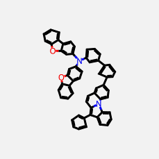 c1ccc(-c2c3ccccc3n3c2ccc2cc(-c4cccc(-c5cccc(N(c6ccc7c(c6)oc6ccccc67)c6ccc7c(c6)oc6ccccc67)c5)c4)ccc23)cc1